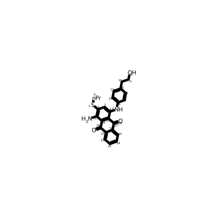 CCCSc1cc(Nc2ccc(CCO)cc2)c2c(c1N)C(=O)c1ccccc1C2=O